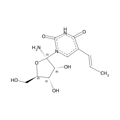 CC=Cc1cn([C@]2(N)O[C@H](CO)[C@@H](O)[C@H]2O)c(=O)[nH]c1=O